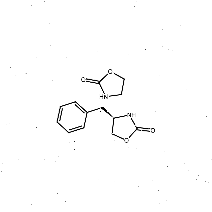 O=C1NCCO1.O=C1N[C@H](Cc2ccccc2)CO1